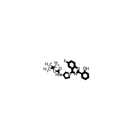 CC(C)(C)OC(=O)N[C@@H]1CCN(c2nc(-c3ccccc3O)nc3ccc(F)cc23)C1